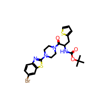 CC(C)(C)OC(=O)NC(Cc1cccs1)C(=O)N1CCN(c2nc3ccc(Br)cc3s2)CC1